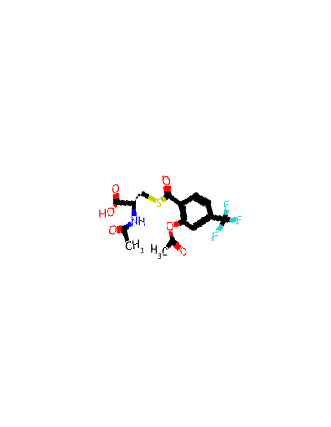 CC(=O)N[C@@H](CSC(=O)c1ccc(C(F)(F)F)cc1OC(C)=O)C(=O)O